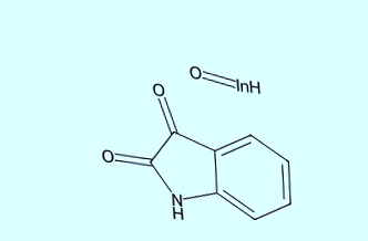 O=C1Nc2ccccc2C1=O.[O]=[InH]